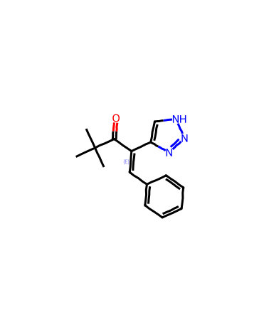 CC(C)(C)C(=O)/C(=C/c1ccccc1)c1c[nH]nn1